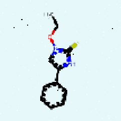 CCOn1cc(-c2ccccc2)[nH]c1=S